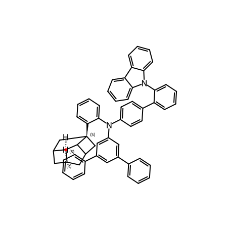 c1ccc(-c2cc(-c3ccccc3)cc(N(c3ccc(-c4ccccc4-n4c5ccccc5c5ccccc54)cc3)c3ccccc3[C@]34CC5C[C@H]6CC(C3)[C@H]6C54)c2)cc1